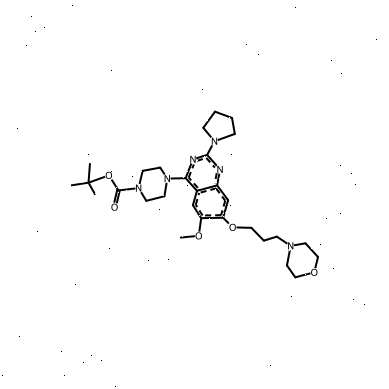 COc1cc2c(N3CCN(C(=O)OC(C)(C)C)CC3)nc(N3CCCC3)nc2cc1OCCCN1CCOCC1